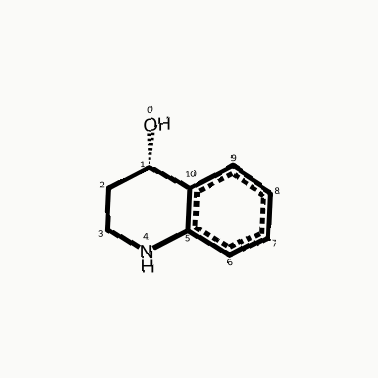 O[C@H]1CCNc2ccccc21